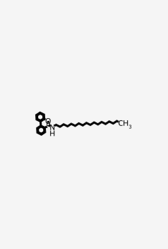 CCCCCCCCCCCCCCCCCCNP1Oc2ccccc2-c2ccccc21